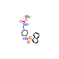 CC(C)(C)OC(=O)NC[C@H]1CC[C@H](NS(=O)(=O)c2cccc3ccccc23)CC1